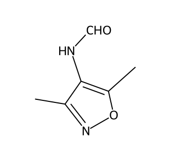 Cc1noc(C)c1NC=O